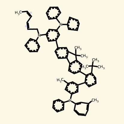 C/C=C\C=C/CN(c1ccccc1)c1cc(-c2ccc3c(c2)C(C)(C)c2cc(-c4c(-c5cc(C)cc(N(C6=CC(C)=CC=C=C6)c6ccccc6)c5)cccc4C(C)(C)C)ccc2-3)cc(N(c2ccccc2)c2ccccc2)c1